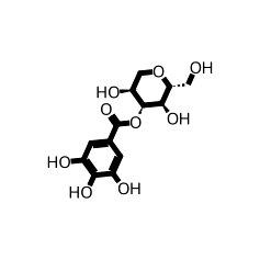 O=C(O[C@H]1[C@H](O)[C@@H](CO)OC[C@@H]1O)c1cc(O)c(O)c(O)c1